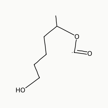 CC(CCCCO)O[C]=O